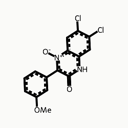 COc1cccc(-c2c(=O)[nH]c3cc(Cl)c(Cl)cc3[n+]2[O-])c1